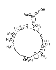 COC1CC(C)=CC(C)C(=O)CC([C@H](C)C[C@@H]2CC[C@@H](OCCO)[C@H](OC)C2)OC(=O)CCCC(O)C(O)NC(=O)C(=O)C2OC(CCC2C)CC(OC)C(C)=CC=CC=CC(C)CC(C)C1=O